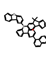 CC1(C)c2ccccc2-c2ccc(N(c3ccc4oc5ccccc5c4c3)c3ccccc3-c3cccc(-c4cccc5ccccc45)c3)cc21